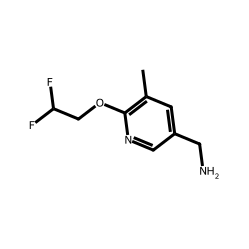 Cc1cc(CN)cnc1OCC(F)F